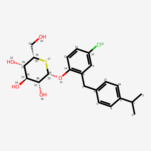 CC(C)c1ccc(Cc2cc(Cl)ccc2O[C@H]2S[C@@H](CO)[C@@H](O)[C@H](O)[C@H]2O)cc1